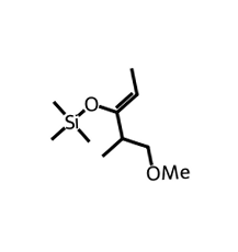 C/C=C(\O[Si](C)(C)C)C(C)COC